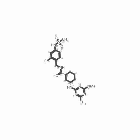 CNc1nc(C)nc(N[C@H]2CCC[C@@H](C(=O)NCc3ccc(NS(C)(=O)=O)cc3Cl)C2)n1